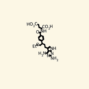 CCOCC(CCc1c[nH]c2nc(N)nc(N)c12)c1ccc(C(=O)N[C@@H](CCC(=O)O)C(=O)O)cc1